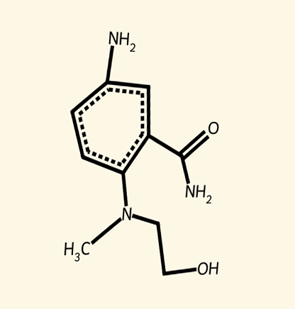 CN(CCO)c1ccc(N)cc1C(N)=O